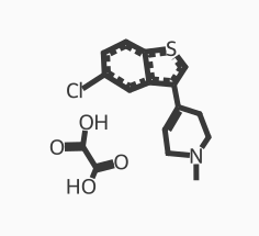 CN1CC=C(c2csc3ccc(Cl)cc23)CC1.O=C(O)C(=O)O